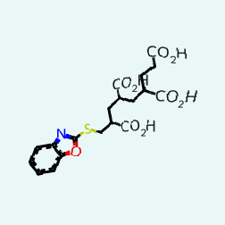 O=C(O)CCC(CC(CC(CSc1nc2ccccc2o1)C(=O)O)C(=O)O)C(=O)O